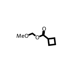 COCOC(=O)C1CCC1